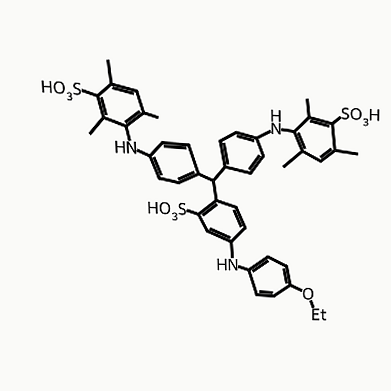 CCOc1ccc(Nc2ccc(C(c3ccc(Nc4c(C)cc(C)c(S(=O)(=O)O)c4C)cc3)c3ccc(Nc4c(C)cc(C)c(S(=O)(=O)O)c4C)cc3)c(S(=O)(=O)O)c2)cc1